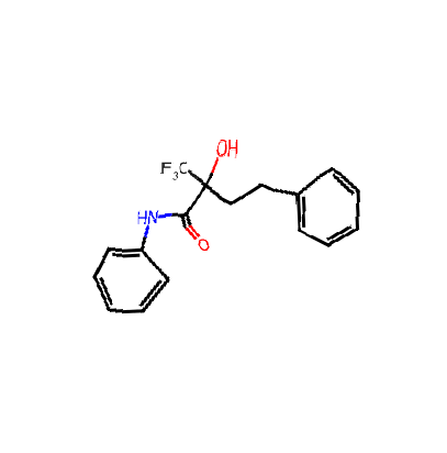 O=C(Nc1ccccc1)C(O)(CCc1ccccc1)C(F)(F)F